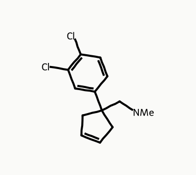 CNCC1(c2ccc(Cl)c(Cl)c2)CC=CC1